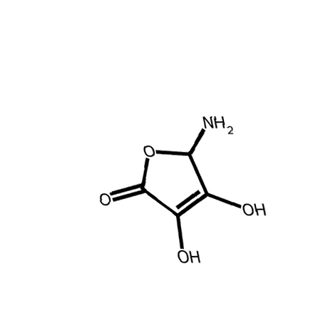 NC1OC(=O)C(O)=C1O